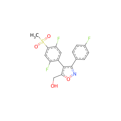 CS(=O)(=O)c1cc(F)c(-c2c(-c3ccc(F)cc3)noc2CO)cc1F